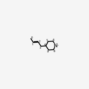 CC=CCC1CC[N]CC1